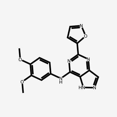 COc1ccc(Nc2nc(-c3ccno3)nc3cn[nH]c23)cc1OC